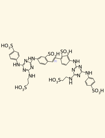 O=S(=O)(O)CCNc1nc(Nc2ccc(S(=O)(=O)O)cc2)nc(Nc2ccc(/C=C/c3ccc(Nc4nc(NCCS(=O)(=O)O)nc(Nc5ccc(S(=O)(=O)O)cc5)n4)cc3S(=O)(=O)O)c(S(=O)(=O)O)c2)n1